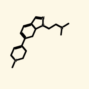 CN(C)CCN1N=CC2=CC=C(C3=CCN(C)CC3)CC21